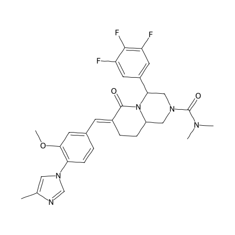 COc1cc(/C=C2\CCC3CN(C(=O)N(C)C)CC(c4cc(F)c(F)c(F)c4)N3C2=O)ccc1-n1cnc(C)c1